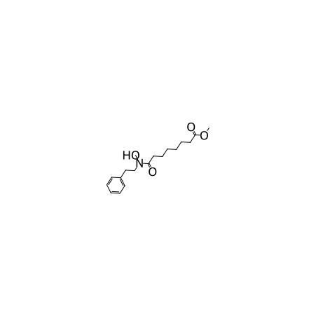 COC(=O)CCCCCCC(=O)N(O)CCc1ccccc1